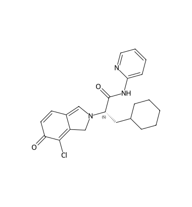 O=C1C=CC2=CN([C@@H](CC3CCCCC3)C(=O)Nc3ccccn3)CC2=C1Cl